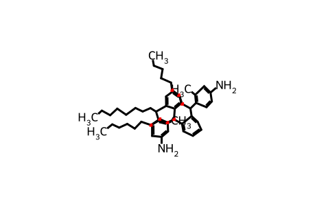 CCCCCCCCCC(c1ccccc1C(CCCCCCCC)c1ccc(N)cc1C)c1ccccc1C(CCCCCCCC)c1ccc(N)cc1C